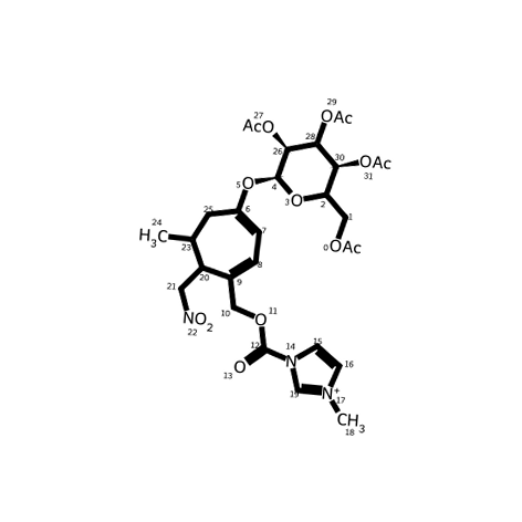 CC(=O)OCC1O[C@@H](OC2=CC=C(COC(=O)n3cc[n+](C)c3)C(C[N+](=O)[O-])C(C)C2)[C@@H](OC(C)=O)C(OC(C)=O)[C@H]1OC(C)=O